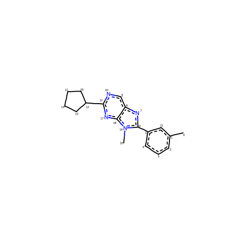 Cc1cccc(-c2nc3[c]nc(C4CCCC4)nc3n2C)c1